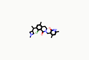 Cc1cc(C)c(CN2CCc3c(C)cc(C(C)C4CN(C)C4)c(Cl)c3C2=O)c(=O)[nH]1